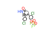 C[C@@]12CC[C@@H](c3ccc(OS(=O)(=O)C(F)(F)F)cc3Cl)[C@H](c3ccc(Cl)cc3)[C@@H]1CNC2=O